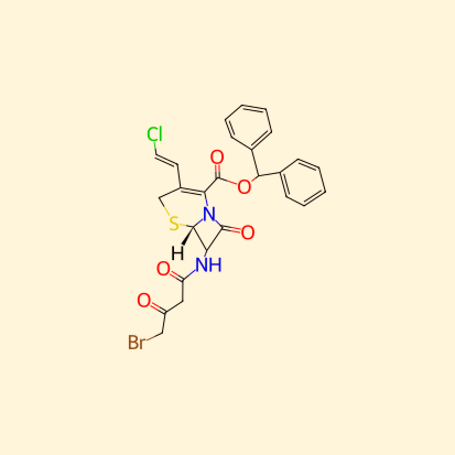 O=C(CBr)CC(=O)NC1C(=O)N2C(C(=O)OC(c3ccccc3)c3ccccc3)=C(/C=C/Cl)CS[C@@H]12